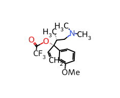 C=C[C@](OC(=O)C(F)(F)F)(c1cccc(OC)c1)[C@H](C)CN(C)C